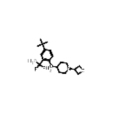 CC(C)(C)c1ccc(OC2CCN(C3COC3)CC2)c(C(F)(P)P)c1